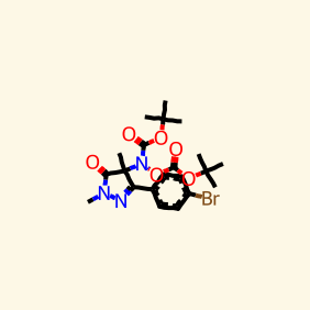 CN1N=C(c2ccc(Br)cc2)C(C)(N(OC(=O)OC(C)(C)C)C(=O)OC(C)(C)C)C1=O